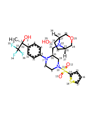 C[C@](O)(c1ccc(N2CCN(S(=O)(=O)c3cccs3)C[C@@H]2CN2[C@@H]3COC[C@H]2[C@@H](O)C3)cc1)C(F)(F)F